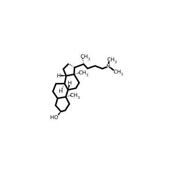 C[C@H](CCCN(C)C)[C@H]1CC[C@H]2[C@@H]3CCC4C[C@H](O)CC[C@]4(C)[C@H]3CC[C@]12C